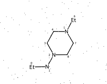 CC[N]N1CCN(CC)CC1